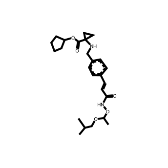 CC(C)COC(C)ONC(=O)C=Cc1ccc(CNC2(C(=O)OC3CCCC3)CC2)cc1